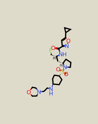 O=C(N[C@@H](CF)C[C@@H]1CCCN1S(=O)(=O)[C@H]1CC[C@H](NCCN2CCOCC2)CC1)c1cc(C2CC2)on1